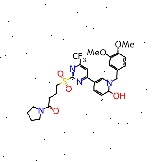 COc1ccc(CN2C=C(c3cc(C(F)(F)F)nc(S(=O)(=O)CCCC(=O)N4CCCC4)n3)C=CC2O)cc1OC